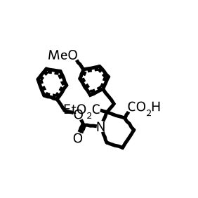 CCOC(=O)C1(Cc2ccc(OC)cc2)C(C(=O)O)CCCN1C(=O)OCc1ccccc1